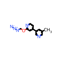 Cc1cncc(-c2ccnc(OCN=[N+]=[N-])c2)c1